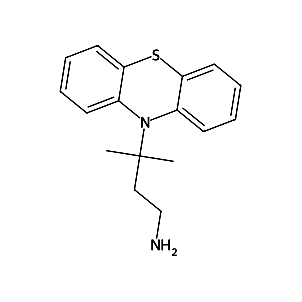 CC(C)(CCN)N1c2ccccc2Sc2ccccc21